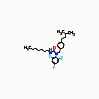 CCCCCCCNC(=O)N(Cc1ccc(CCC(C)C)cc1)c1c(F)cc(F)cc1F